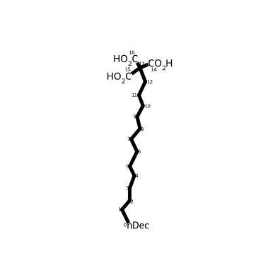 CCCCCCCCCCCCCCCCCCCCCCC(C(=O)O)(C(=O)O)C(=O)O